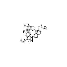 COCC(C)Oc1ccc2ccc(Nc3nc(NC4CCCC[C@@H]4N)c(F)cc3C(N)=O)cc2n1